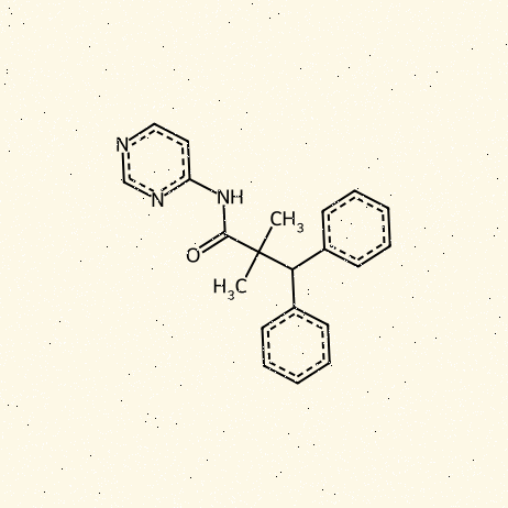 CC(C)(C(=O)Nc1ccncn1)C(c1ccccc1)c1ccccc1